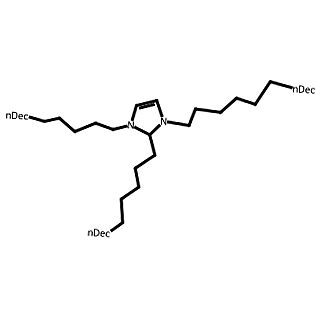 CCCCCCCCCCCCCCCCN1C=CN(CCCCCCCCCCCCCCC)C1CCCCCCCCCCCCCCC